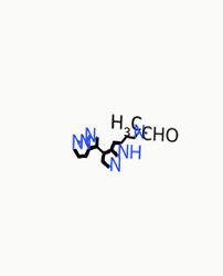 CN(C=O)CCc1cc2c(-c3cnn4ncccc34)ccnc2[nH]1